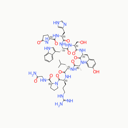 CC(C)C[C@H](NC(=O)[C@@H](C)NC(=O)[C@H](Cc1ccc(O)cc1)NC(=O)[C@H](CO)NC(=O)[C@H](Cc1c[nH]c2ccccc12)NC(=O)[C@H](Cc1c[nH]cn1)NC(=O)[C@@H]1CCC(=O)N1)C(=O)N[C@@H](CCCNC(=N)N)C(=O)N1CCC[C@H]1C(=O)NCC(N)=O